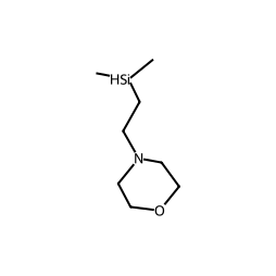 C[SiH](C)CCN1CCOCC1